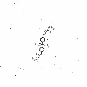 C=CC(=O)Cc1ccc(C(C)(C)c2ccc(CCOC(=O)C=C)cc2)cc1